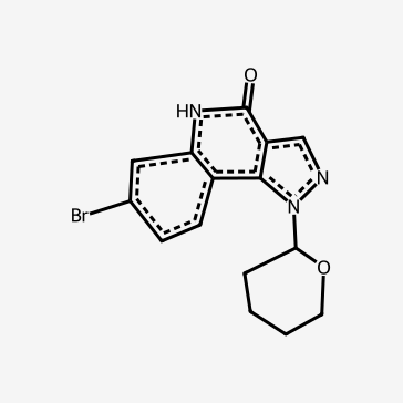 O=c1[nH]c2cc(Br)ccc2c2c1cnn2C1CCCCO1